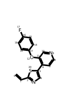 C=Cc1ncc(-c2ccncc2Oc2ccc(F)cc2)s1